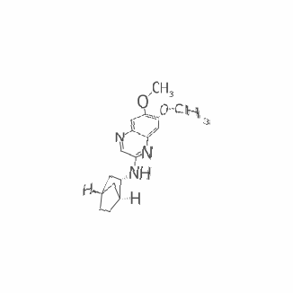 COc1cc2ncc(N[C@H]3C[C@H]4CC[C@H]3C4)nc2cc1OC